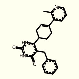 Cc1ncccc1C1=CCC(c2[nH]c(=O)[nH]c(=O)c2Cc2ccccc2)CC1